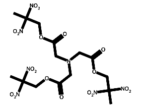 CC(COC(=O)CN(CC(=O)OCC(C)([N+](=O)[O-])[N+](=O)[O-])CC(=O)OCC(C)([N+](=O)[O-])[N+](=O)[O-])([N+](=O)[O-])[N+](=O)[O-]